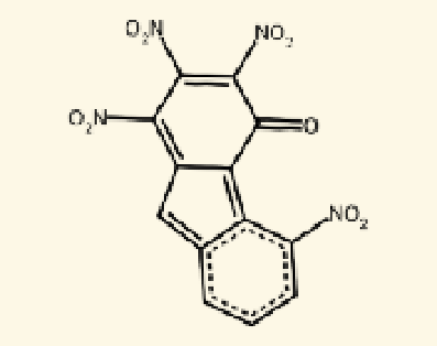 O=C1C([N+](=O)[O-])=C([N+](=O)[O-])C([N+](=O)[O-])=C2C=c3cccc([N+](=O)[O-])c3=C12